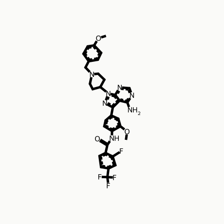 COc1ccc(CN2CCC(n3nc(-c4ccc(NC(=O)c5ccc(C(F)(F)F)cc5F)c(OC)c4)c4c(N)ncnc43)CC2)cc1